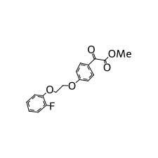 COC(=O)C(=O)c1ccc(OCCOc2ccccc2F)cc1